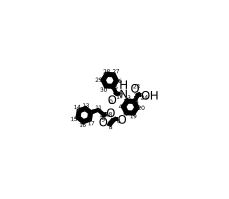 O=C(Nc1cc(OC2=COC(Cc3ccccc3)O2)ccc1C(=O)O)c1ccccc1